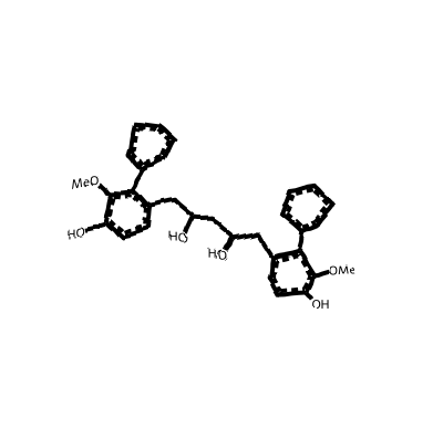 COc1c(O)ccc(CC(O)CC(O)Cc2ccc(O)c(OC)c2-c2ccccc2)c1-c1ccccc1